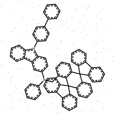 c1ccc(-c2ccc(-n3c4ccccc4c4cc(N(Cc5cccc6c5C5(c7ccccc7-c7ccccc75)c5ccccc5C65c6ccccc6-c6ccccc65)c5ccccc5)ccc43)cc2)cc1